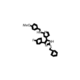 COc1ccc(CNc2cc(-c3[nH]c(SCc4ccccc4)nc3-c3ccc(F)cc3)ccn2)cc1